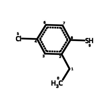 CCc1cc(Cl)ccc1S